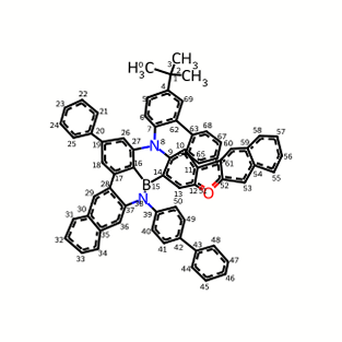 CC(C)(C)c1ccc(N2c3cc4c(cc3B3c5c(cc(-c6ccccc6)cc52)-c2cc5ccccc5cc2N3c2ccc(-c3ccccc3)cc2)oc2cc3ccccc3cc24)c(-c2ccccc2)c1